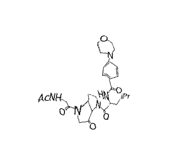 CC(=O)NCC(=O)N1CC(=O)C2C1CCN2C(=O)C(CC(C)C)NC(=O)c1ccc(N2CCOCC2)cc1